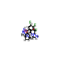 Cn1nc2c(c1-c1cc(F)c(F)c(F)c1)C[C@H]1CC[C@@H]2N1C(=O)c1cccc2nccn12